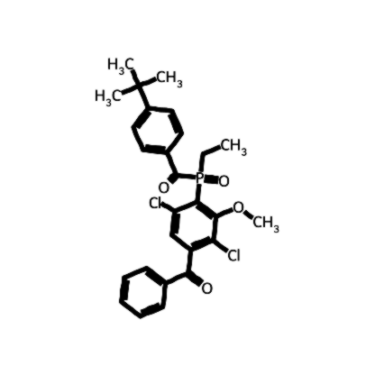 CCP(=O)(C(=O)c1ccc(C(C)(C)C)cc1)c1c(Cl)cc(C(=O)c2ccccc2)c(Cl)c1OC